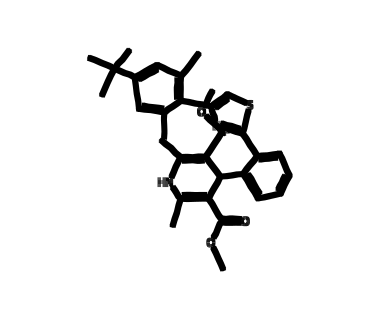 COC(=O)C1=C(C)NC(C)=C(C(=O)OC)C1c1ccccc1-c1nc(-c2c(C)cc(C(C)(C)C)cc2C)cs1